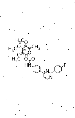 CO[C@@H]1[C@@H](OC)[C@H](C)O[C@@H](OC(=O)Nc2ccc(-c3ccnc(-c4ccc(F)cc4)n3)cc2)[C@@H]1OC